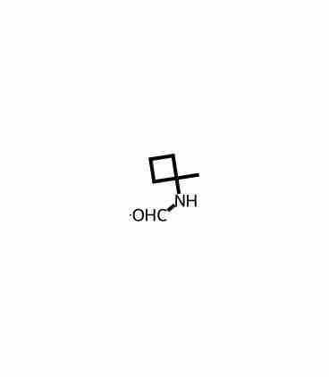 CC1(N[C]=O)CCC1